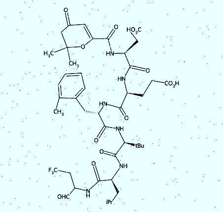 Cc1ccccc1C[C@H](NC(=O)[C@H](CCC(=O)O)NC(=O)[C@H](CC(=O)O)NC(=O)C1=CC(=O)CC(C)(C)O1)C(=O)N[C@H](C(=O)N[C@@H](CC(C)C)C(=O)NC(C=O)CC(F)(F)F)C(C)(C)C